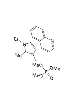 CCC(C)C1N(C)C=CN1CC.COP(=O)(OC)OC.c1ccc2ncccc2c1